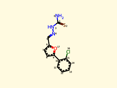 NC(=S)NN=Cc1ccc(-c2ccccc2Cl)o1